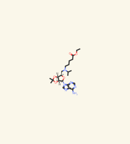 CCOC(=O)CCCCN(C[C@H]1O[C@@H](n2cnc3c(N)ncnc32)[C@@H]2OC(C)(C)O[C@@H]21)C(C)C